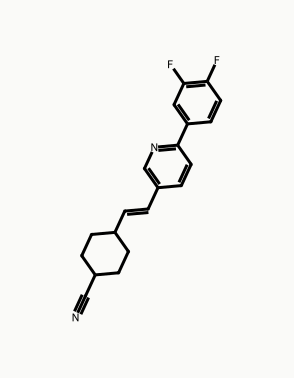 N#CC1CCC(C=Cc2ccc(-c3ccc(F)c(F)c3)nc2)CC1